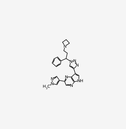 Cn1cc(-c2cnc3[nH]cc(-c4cn(C(CCN5CCC5)c5ccccc5)nn4)c3n2)cn1